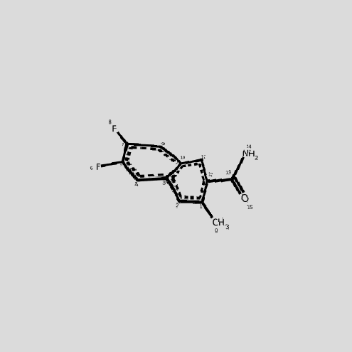 Cc1cc2cc(F)c(F)cc2cc1C(N)=O